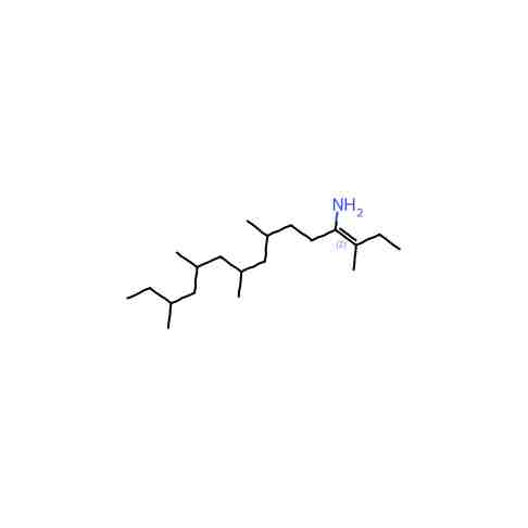 CC/C(C)=C(\N)CCC(C)CC(C)CC(C)CC(C)CC